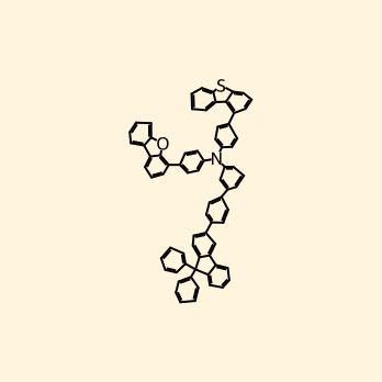 c1ccc(C2(c3ccccc3)c3ccccc3-c3cc(-c4ccc(-c5cccc(N(c6ccc(-c7cccc8c7oc7ccccc78)cc6)c6ccc(-c7cccc8sc9ccccc9c78)cc6)c5)cc4)ccc32)cc1